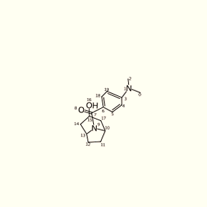 CN(C)c1ccc(C(=O)N2C3CCC2CC(O)C3)cc1